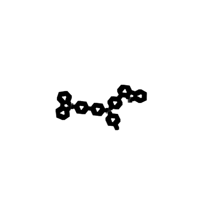 Cc1ccc(N(c2ccc(-c3ccc(-n4c5ccccc5c5ccccc54)cc3)cc2)c2ccc(-c3cccc4c3sc3ccccc34)cc2)cc1